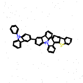 c1ccc(-n2c3ccccc3c3cc(-c4ccc5c(c4)c4ccccc4n5-c4ccccc4-c4cccc5c4sc4ccccc45)ccc32)cc1